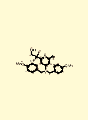 COc1ccc(CN(Cc2ccc(OC)cc2)c2cc(Br)nc(C(F)(F)CO)c2)cc1